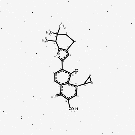 CC1(C)CCc2cc(-c3ccc4c(=O)c(C(=O)O)cn(C5CC5)c4c3Cl)sc2C1N